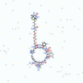 CC(C)[C@H]1NC(=O)[C@@H](CC(=O)O)NC(=O)[C@@H](Cc2ccccc2)NC(=O)[C@@H](NC(=O)COCCOCCOCCNC(=O)CCCCC2SC[C@H]3NC(=O)N[C@@H]23)Cc2cn(nn2)CCCC[C@@H](C(N)=O)NC(=O)[C@@H](Cc2c[nH]cn2)NC(=O)CNC1=O